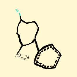 O=C(O)C1CC(F)CCC1c1ccccc1